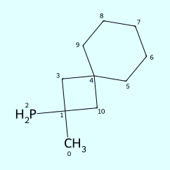 CC1(P)CC2(CCCCC2)C1